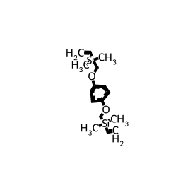 C=C[Si](C)(C)COc1ccc(OC[Si](C)(C)C=C)cc1